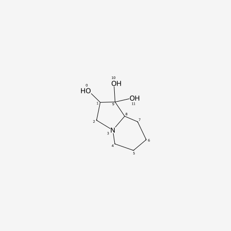 OC1CN2CCCCC2C1(O)O